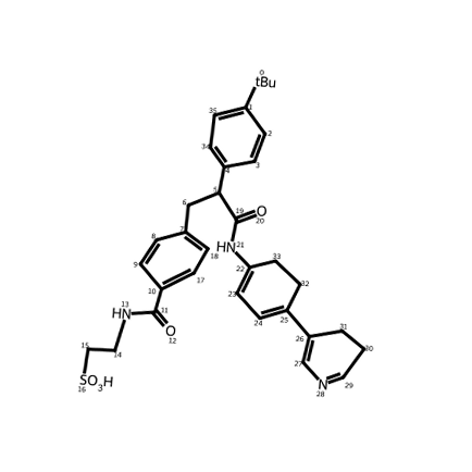 CC(C)(C)c1ccc(C(Cc2ccc(C(=O)NCCS(=O)(=O)O)cc2)C(=O)NC2=CC=C(C3=CN=CCC3)CC2)cc1